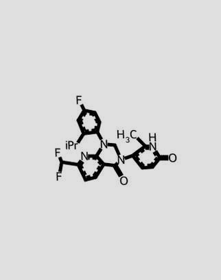 Cc1[nH]c(=O)ccc1N1CN(c2ccc(F)cc2C(C)C)c2nc(C(F)F)ccc2C1=O